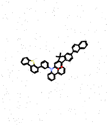 CC1(C)c2cc(-c3ccc4ccccc4c3)ccc2-c2ccc(N(c3cccc(-c4cccc5c4sc4ccccc45)c3)c3ccccc3-c3ccccc3)cc21